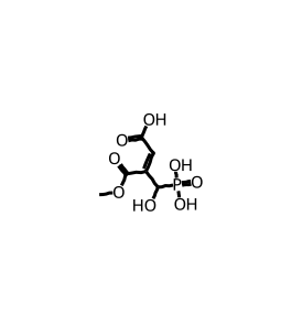 COC(=O)/C(=C\C(=O)O)C(O)P(=O)(O)O